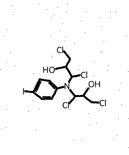 OC(CCl)C(Cl)N(c1ccc(I)cc1)C(Cl)C(O)CCl